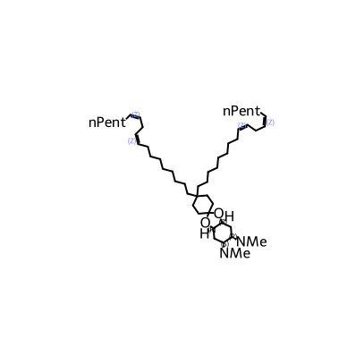 CCCCC/C=C\C/C=C\CCCCCCCCC1(CCCCCCCC/C=C\C/C=C\CCCCC)CCC2(CC1)O[C@H]1C[C@@H](NC)[C@@H](NC)C[C@H]1O2